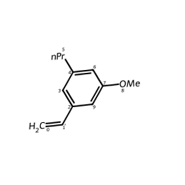 C=[C]c1cc(CCC)cc(OC)c1